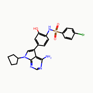 Nc1ncnc2c1c(-c1ccc(NS(=O)(=O)c3ccc(Br)cc3)c(O)c1)cn2C1CCCC1